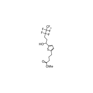 COC(=O)CCCc1ccc(C(O)CCC(F)(F)C(F)(F)C(F)(F)F)s1